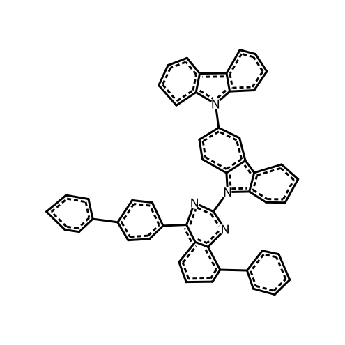 c1ccc(-c2ccc(-c3nc(-n4c5ccccc5c5cc(-n6c7ccccc7c7ccccc76)ccc54)nc4c(-c5ccccc5)cccc34)cc2)cc1